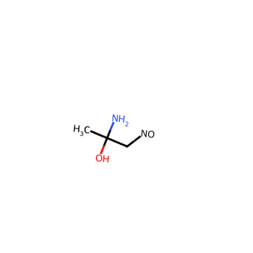 CC(N)(O)CN=O